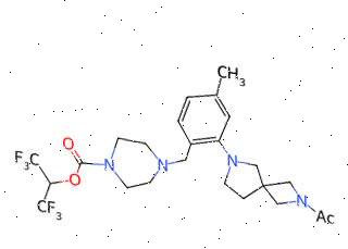 CC(=O)N1CC2(CCN(c3cc(C)ccc3CN3CCN(C(=O)OC(C(F)(F)F)C(F)(F)F)CC3)C2)C1